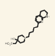 O=C(O)CC1(O)CCN(CCCCCc2ccc3c(n2)NCCC3)CC1